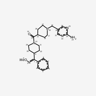 CON=C(c1ccccc1)C1CCN(C(=O)C2CCN(Cc3cnc(N)nc3)CC2)CC1